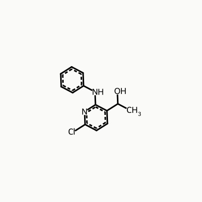 CC(O)c1ccc(Cl)nc1Nc1ccccc1